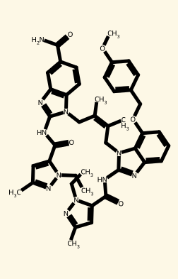 CCn1nc(C)cc1C(=O)Nc1nc2cc(C(N)=O)ccc2n1CC(C)=C(C)Cn1c(NC(=O)c2cc(C)nn2CC)nc2cccc(OCc3ccc(OC)cc3)c21